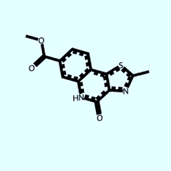 COC(=O)c1ccc2c(c1)[nH]c(=O)c1nc(C)sc12